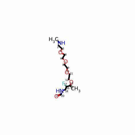 CNCCOCCOCCOCCOC(C)C(F)CNC=O